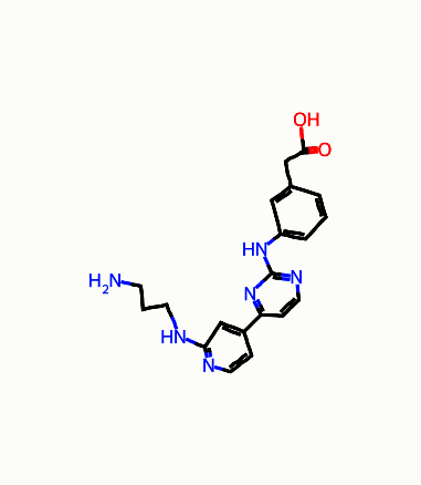 NCCCNc1cc(-c2ccnc(Nc3cccc(CC(=O)O)c3)n2)ccn1